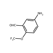 Nc1ccc(OC(F)(F)F)c(C=O)c1